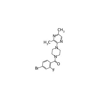 Cc1cnc(N2CCN(C(=O)c3ccc(Br)cc3F)CC2)c(C)n1